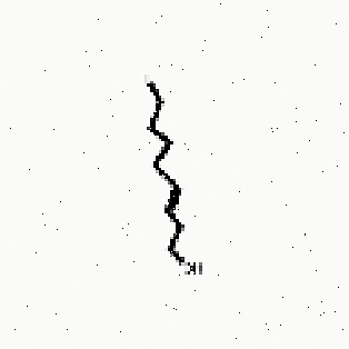 OCC/C=C/CCCCI